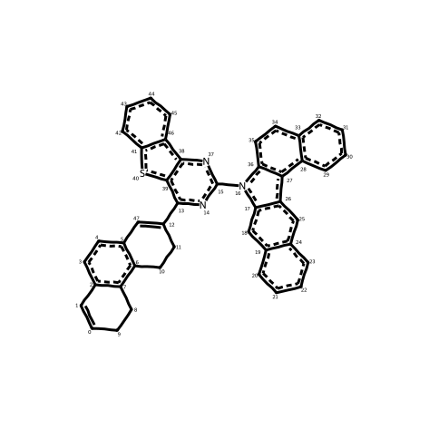 C1=Cc2ccc3c(c2CC1)CCC(c1nc(-n2c4cc5ccccc5cc4c4c5ccccc5ccc42)nc2c1sc1ccccc12)=C3